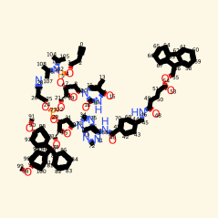 C#CCCOP(OC1C[C@H](n2cc(C)c(=O)[nH]c2=O)O[C@@H]1COP(OCCC#N)OC1C[C@H](n2cnc3c(NC(=O)c4ccc(CNC(=O)CCCC(=O)OCC5c6ccccc6-c6ccccc65)cc4)ncnc32)O[C@@H]1COC(c1ccccc1)(c1ccc(OC)cc1)c1ccc(OC)cc1)N(C(C)C)C(C)C